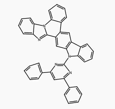 c1ccc(-c2cc(-c3ccccc3)nc(-n3c4ccccc4c4cc5c6ccccc6n6c7ccccc7nc6c5cc43)n2)cc1